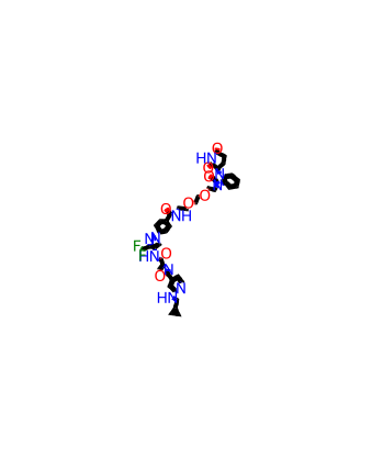 O=C1CCC(n2c(=O)n(CCOCCOCCNC(=O)c3ccc(-n4cc(NC(=O)c5coc(-c6ccnc(NCC7CC7)c6)n5)c(C(F)F)n4)cc3)c3ccccc32)C(=O)N1